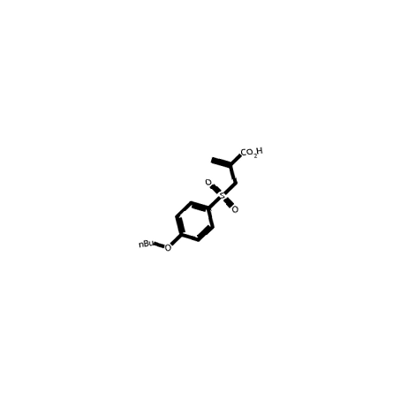 C=C(CS(=O)(=O)c1ccc(OCCCC)cc1)C(=O)O